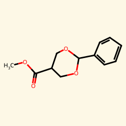 COC(=O)C1COC(c2ccccc2)OC1